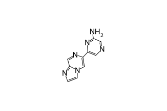 Nc1cncc(-c2cn3ccnc3cn2)n1